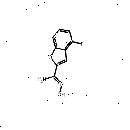 NC(=NO)c1cc2c(F)cccc2o1